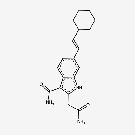 NC(=O)Nc1[nH]c2cc(/C=C/C3CCCCC3)ccc2c1C(N)=O